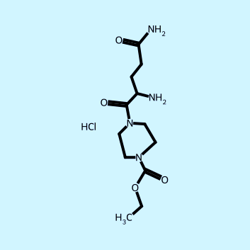 CCOC(=O)N1CCN(C(=O)C(N)CCC(N)=O)CC1.Cl